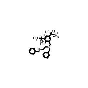 CC(C)(C)c1cc(CN(CCNCc2ccccc2)Cc2ccccc2)c(O)c(C(C)(C)C)c1